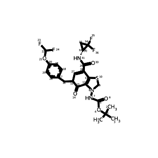 CC(C)(C)OC(=O)NN1CSC2=C1C(=O)C(Cc1ccc(OC(F)F)cc1)C=C2C(=O)N[C@@H]1CC1(F)F